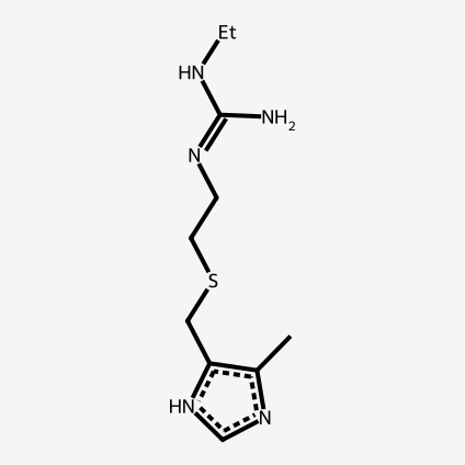 CCN/C(N)=N/CCSCc1[nH]cnc1C